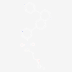 COCCNS(=O)(=O)c1cncc(-c2ccc3nccc(-c4ccncc4)c3c2)c1